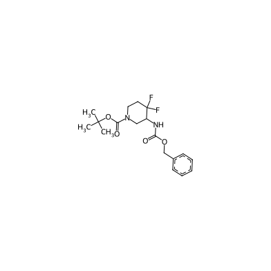 CC(C)(C)OC(=O)N1CCC(F)(F)C(NC(=O)OCc2ccccc2)C1